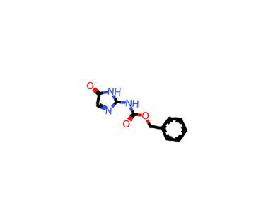 O=C1C=NC(NC(=O)OCc2ccccc2)N1